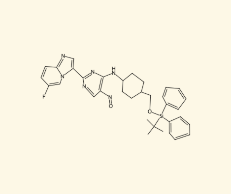 CC(C)(C)[Si](OCC1CCC(Nc2nc(-c3cnc4ccc(F)cn34)ncc2N=O)CC1)(c1ccccc1)c1ccccc1